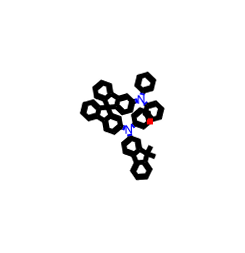 CC1(C)c2ccccc2-c2ccc(N(c3ccccc3)c3ccc4c(c3)C3(c5ccccc5-c5cc(N(c6ccccc6)c6ccccc6)ccc53)c3ccccc3-4)cc21